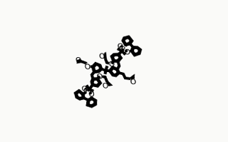 CC(C)(c1ccc(CCC2CO2)c(Cc2cc(C(C)(C)P3(=O)Oc4ccccc4-c4ccccc43)ccc2OCC2CO2)c1)c1ccc(OCC2CO2)c(Cc2cc(C(C)(C)P3(=O)Oc4ccccc4-c4ccccc43)ccc2OCC2CO2)c1